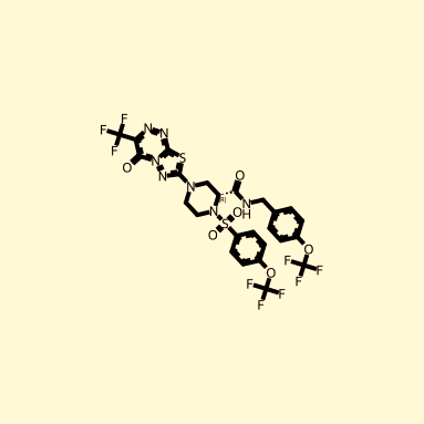 O=C(NCc1ccc(OC(F)(F)F)cc1)[C@H]1CN(c2nn3c(=O)c(C(F)(F)F)nnc3s2)CCN1S(=O)(=O)c1ccc(OC(F)(F)F)cc1